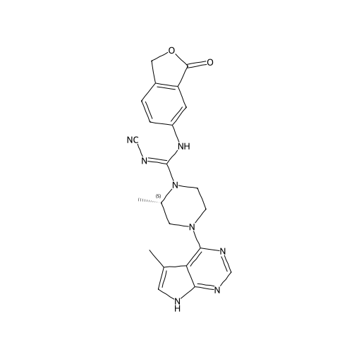 Cc1c[nH]c2ncnc(N3CCN(C(=NC#N)Nc4ccc5c(c4)C(=O)OC5)[C@@H](C)C3)c12